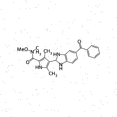 CON(C)C(=O)c1[nH]c(C)c(C2Nc3ccc(C(=O)c4ccccc4)cc3N2)c1C